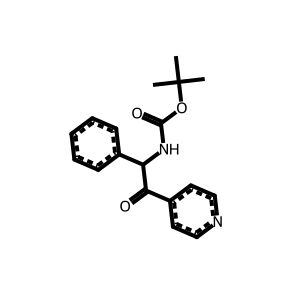 CC(C)(C)OC(=O)NC(C(=O)c1ccncc1)c1ccccc1